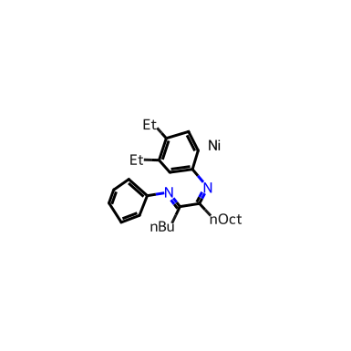 CCCCCCCCC(=Nc1ccc(CC)c(CC)c1)C(CCCC)=Nc1ccccc1.[Ni]